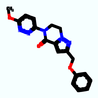 COc1ccc(N2CCn3nc(COc4ccccc4)cc3C2=O)nn1